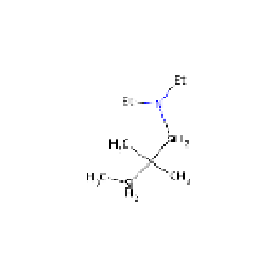 CCN(CC)[SiH2]C(C)(C)[SiH2]C